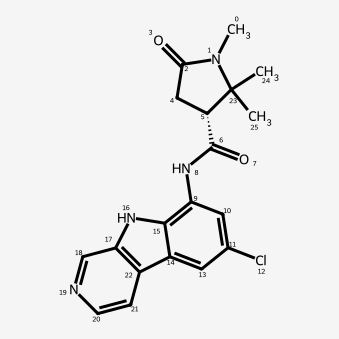 CN1C(=O)C[C@@H](C(=O)Nc2cc(Cl)cc3c2[nH]c2cnccc23)C1(C)C